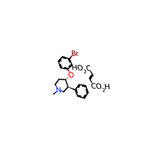 CN1CC[C@H](Oc2cccc(Br)c2)[C@@H](c2ccccc2)C1.O=C(O)/C=C/C(=O)O